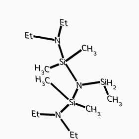 CCN(CC)[Si](C)(C)N([SiH2]C)[Si](C)(C)N(CC)CC